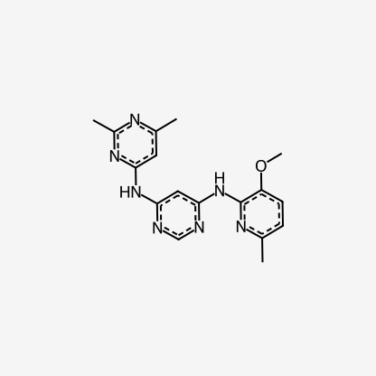 COc1ccc(C)nc1Nc1cc(Nc2cc(C)nc(C)n2)ncn1